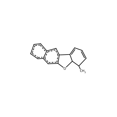 CC1C=CC=C2c3cc4ccccc4cc3OC21